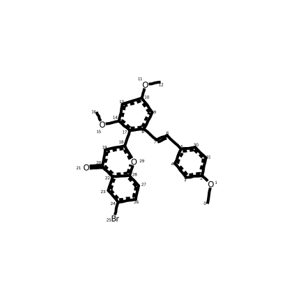 COc1ccc(/C=C/c2cc(OC)cc(OC)c2-c2cc(=O)c3cc(Br)ccc3o2)cc1